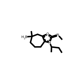 BC1(C)CCCc2c(o/c(=N/C)n2C(C)CC)C1